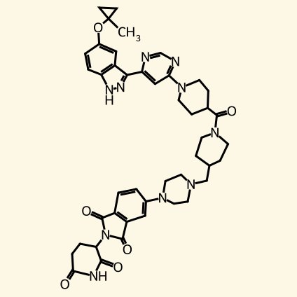 CC1(Oc2ccc3[nH]nc(-c4cc(N5CCC(C(=O)N6CCC(CN7CCN(c8ccc9c(c8)C(=O)N(C8CCC(=O)NC8=O)C9=O)CC7)CC6)CC5)ncn4)c3c2)CC1